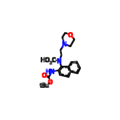 CC(C)(C)OC(=O)Nc1ccc2ccccc2c1N(CCN1CCOCC1)C(=O)O